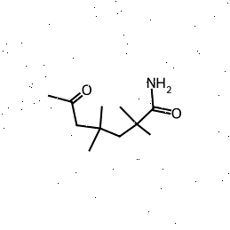 CC(=O)CC(C)(C)CC(C)(C)C(N)=O